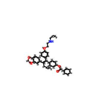 CCNCCOc1ccc(/C(=C(/CC)c2ccc3c(c2)OCO3)c2ccc(OC(=O)c3ccccc3)cc2)cc1